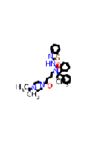 CCC(c1ccccc1)(c1ccccc1)N(CCCC(=O)N1CCN(C(C)C)CC1)C(=O)Nc1nc2ccccc2s1